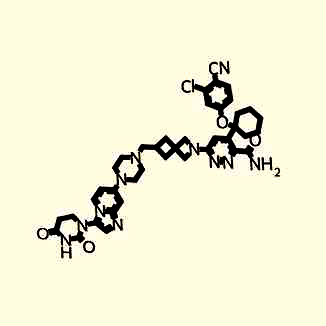 N#Cc1ccc(OC2(c3cc(N4CC5(CC(CN6CCN(c7ccn8c(N9CCC(=O)NC9=O)cnc8c7)CC6)C5)C4)nnc3C(N)=O)CCCCC2)cc1Cl